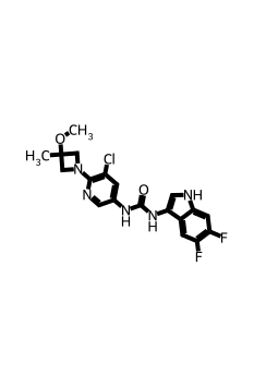 COC1(C)CN(c2ncc(NC(=O)Nc3c[nH]c4cc(F)c(F)cc34)cc2Cl)C1